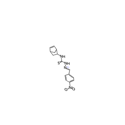 O=[N+]([O-])c1ccc(/C=N/NC(=S)NC2CC3C=CC2C3)cc1